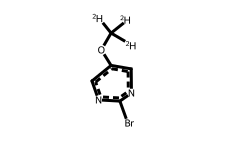 [2H]C([2H])([2H])Oc1cnc(Br)nc1